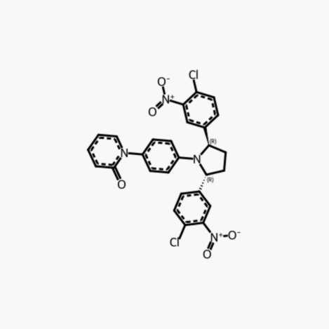 O=c1ccccn1-c1ccc(N2[C@@H](c3ccc(Cl)c([N+](=O)[O-])c3)CC[C@@H]2c2ccc(Cl)c([N+](=O)[O-])c2)cc1